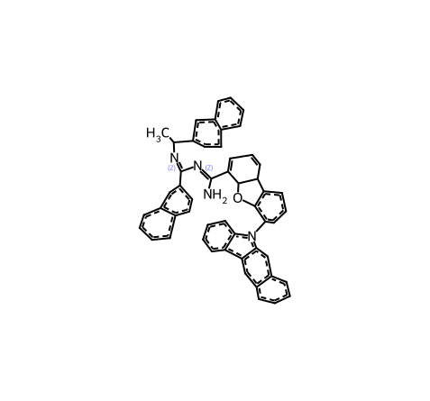 CC(/N=C(\N=C(/N)C1=CC=CC2c3cccc(-n4c5ccccc5c5cc6ccccc6cc54)c3OC12)c1ccc2ccccc2c1)c1ccc2ccccc2c1